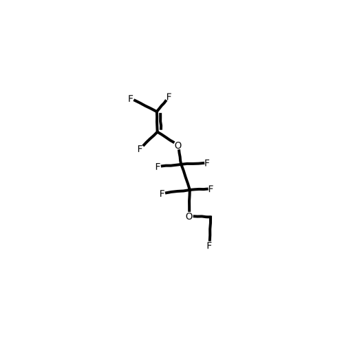 FCOC(F)(F)C(F)(F)OC(F)=C(F)F